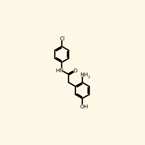 Nc1ccc(O)cc1CC(=O)Nc1ccc(Cl)cc1